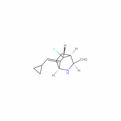 O=C[C@H]1N[C@H]2CC[C@@H]1[C@@H](F)/C2=C/C1CC1